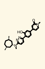 C[C@@H]1CC[C@H](C)C[C@@H](N(C)c2ccc(-c3ccc(-c4ccn(C)c(=O)c4)cc3O)nn2)C1